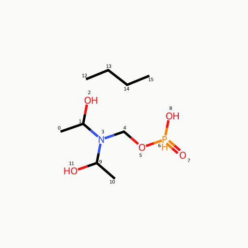 CC(O)N(CO[PH](=O)O)C(C)O.CCCC